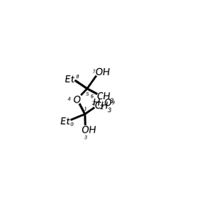 CCC(C)(O)OC(C)(O)CC.O